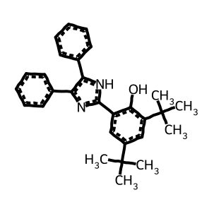 CC(C)(C)c1cc(-c2nc(-c3ccccc3)c(-c3ccccc3)[nH]2)c(O)c(C(C)(C)C)c1